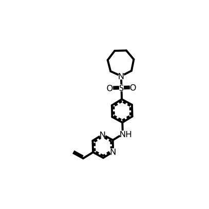 C=Cc1cnc(Nc2ccc(S(=O)(=O)N3CCCCCC3)cc2)nc1